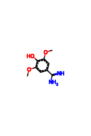 COc1cc(C(=N)N)cc(OC)c1O